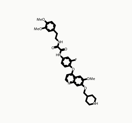 COc1ccc(CCNC(=O)C(=O)Nc2ccc(Oc3ccnc4cc(OCC5CCNCC5)c(OC)cc34)c(F)c2)cc1OC